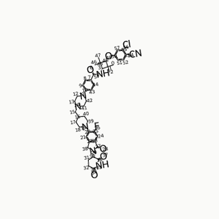 CC1(C)[C@H](NC(=O)c2ccc(N3CCN(CC4CCN(c5cc6c(cc5F)C(=O)N(C5CCC(=O)NC5=O)C6)CC4)CC3)cc2)C(C)(C)[C@H]1Oc1ccc(C#N)c(Cl)c1